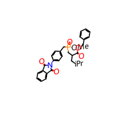 COP(=O)(Cc1ccc(N2C(=O)c3ccccc3C2=O)cc1)CC(CC(C)C)C(=O)OCc1ccccc1